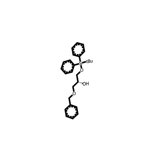 CC(C)(C)[Si](OC[C@H](O)COCc1ccccc1)(c1ccccc1)c1ccccc1